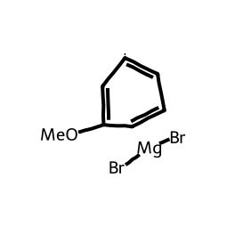 COc1c[c]ccc1.[Br][Mg][Br]